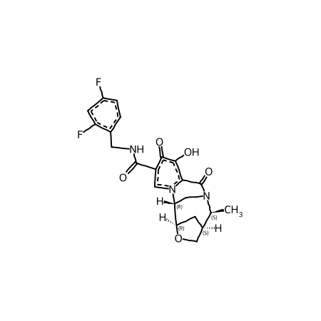 C[C@H]1[C@H]2CO[C@H](C2)[C@H]2CN1C(=O)c1c(O)c(=O)c(C(=O)NCc3ccc(F)cc3F)cn12